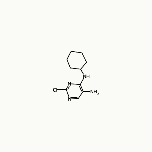 Nc1cnc(Cl)nc1NC1CCCCC1